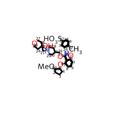 CO[C@@H]1CCC[C@H]1Oc1cccc2onc(OCC3CCN(CC4(O)CCOCC4)CC3)c12.Cc1ccc(S(=O)(=O)O)cc1